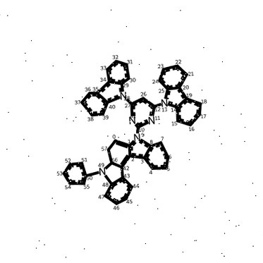 C1=c2c(c3ccccc3n2-c2nc(-n3c4ccccc4c4ccccc43)cc(-n3c4ccccc4c4ccccc43)n2)=C2c3ccccc3N(c3ccccc3)C2C1